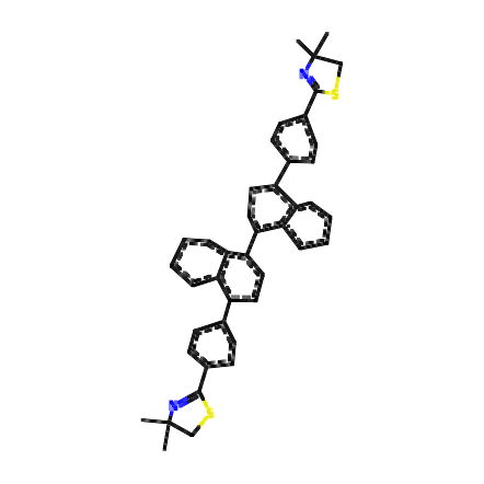 CC1(C)CSC(c2ccc(-c3ccc(-c4ccc(-c5ccc(C6=NC(C)(C)CS6)cc5)c5ccccc45)c4ccccc34)cc2)=N1